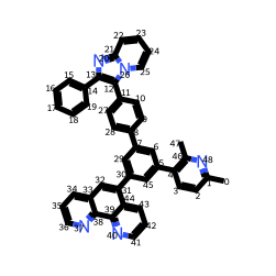 Cc1ccc(-c2cc(-c3ccc(-c4c(-c5ccccc5)nc5ccccn45)cc3)cc(-c3cc4cccnc4c4ncccc34)c2)c(C)n1